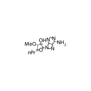 CCC[C@H]1O[C@@H](n2cnc3c(N)ncnc32)[C@@H](O)C1OC